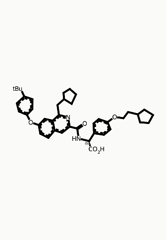 CC(C)(C)c1ccc(Oc2ccc3cc(C(=O)N[C@H](C(=O)O)c4ccc(OCCC5CCCC5)cc4)nc(CC4CCCC4)c3c2)cc1